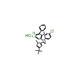 Cl.Cl.[CH2]=[Zr]([C]1=CC(C(C)(C)C)=CC1C)([c]1ccc(Cl)cc1)[c]1cccc2c1Cc1ccccc1-2